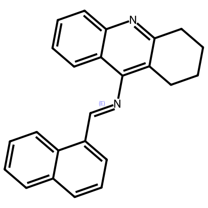 C(=N\c1c2c(nc3ccccc13)CCCC2)/c1cccc2ccccc12